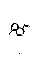 O=Cc1cncc2c(F)cccc12